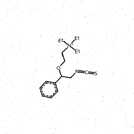 CC[N+](CC)(CC)CCOC(CN=C=S)c1ccccc1